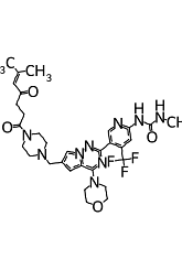 CNC(=O)Nc1cc(C(F)(F)F)c(-c2nc(N3CCOCC3)c3cc(CN4CCN(C(=O)CCC(=O)C=C(C)C)CC4)cn3n2)cn1